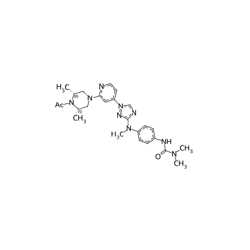 CC(=O)N1[C@H](C)CN(c2cc(-n3cnc(N(C)c4ccc(NC(=O)N(C)C)cc4)n3)ccn2)C[C@@H]1C